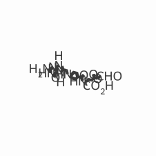 Nc1nc2c(c(=O)[nH]1)NC(CNc1ccc(C(=O)N[C@@H](CCC(=O)OC=O)C(=O)O)cc1)CN2